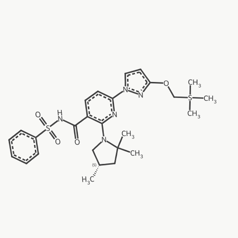 C[C@@H]1CN(c2nc(-n3ccc(OCS(C)(C)C)n3)ccc2C(=O)NS(=O)(=O)c2ccccc2)C(C)(C)C1